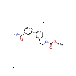 CC(C)(C)OC(=O)N1CCc2cc(-c3cccc(C(N)=O)c3)ccc2C1